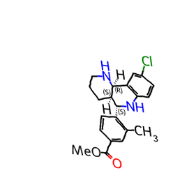 COC(=O)c1ccc([C@H]2Nc3ccc(Cl)cc3[C@@H]3NCCC[C@H]23)c(C)c1